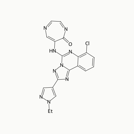 CCn1cc(-c2nc3c4cccc(Cl)c4nc(Nc4cnccnc4=O)n3n2)cn1